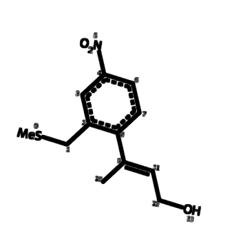 CSCc1cc([N+](=O)[O-])ccc1/C(C)=C/CO